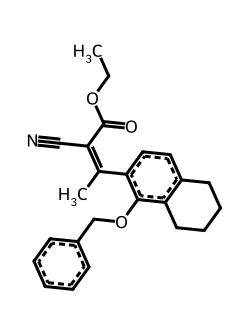 CCOC(=O)C(C#N)=C(C)c1ccc2c(c1OCc1ccccc1)CCCC2